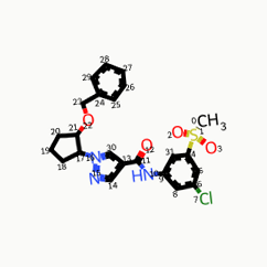 CS(=O)(=O)c1cc(Cl)cc(NC(=O)c2cnn(C3CCCC3OCc3ccccc3)c2)c1